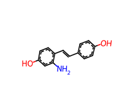 Nc1cc(O)ccc1C=Cc1ccc(O)cc1